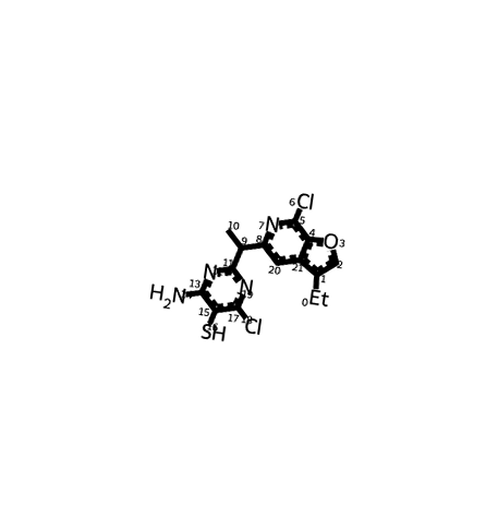 CCc1coc2c(Cl)nc(C(C)c3nc(N)c(S)c(Cl)n3)cc12